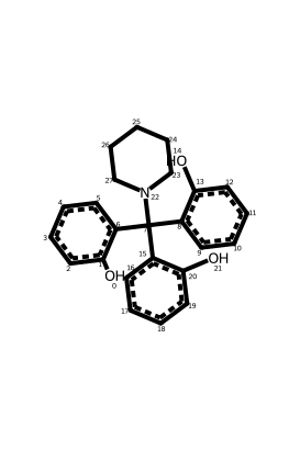 Oc1ccccc1C(c1ccccc1O)(c1ccccc1O)N1CCCCC1